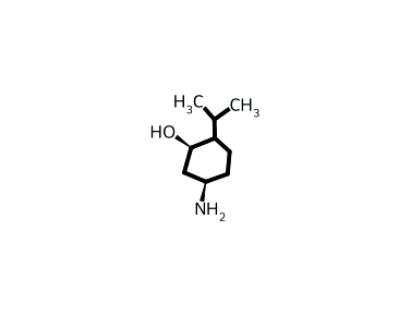 CC(C)C1CC[C@@H](N)C[C@H]1O